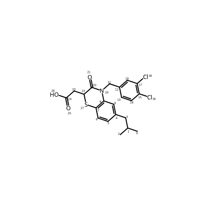 CC(C)Cc1ccc2c(c1)N(Cc1ccc(Cl)c(Cl)c1)C(=O)C(CC(=O)O)S2